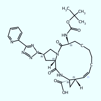 CC(C)(C)OC(=O)N[C@H]1CCCCC/C=C\[C@@H]2C[C@@]2(C(=O)O)NC(=O)[C@@H]2C[C@@H](n3nnc(-c4ccccn4)n3)CN2C1=O